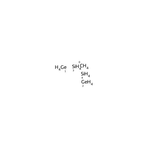 C.[GeH4].[GeH4].[SiH4].[SiH4]